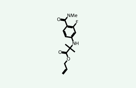 C=CCOC(=O)C(C)(C)Nc1ccc(C(=O)NC)c(F)c1